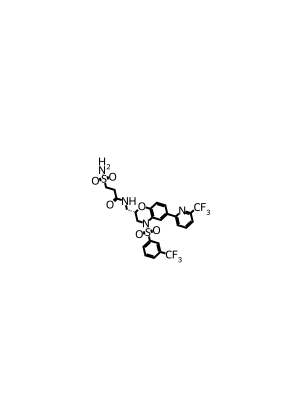 NS(=O)(=O)CCC(=O)NC[C@H]1CN(S(=O)(=O)c2cccc(C(F)(F)F)c2)c2cc(-c3cccc(C(F)(F)F)n3)ccc2O1